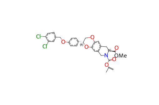 C=C(C)OC(=O)N1Cc2cc3c(cc2C[C@H]1C(=O)OC)OC[C@@H](c1ccc(OCc2ccc(Cl)c(Cl)c2)cc1)O3